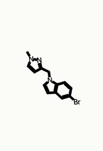 Cn1ccc(Cn2ccc3cc(Br)ccc32)n1